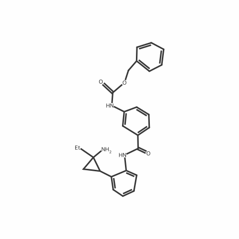 CCC1(N)CC1c1ccccc1NC(=O)c1cccc(NC(=O)OCc2ccccc2)c1